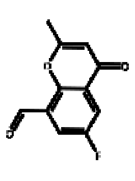 Cc1cc(=O)c2cc(F)cc(C=O)c2o1